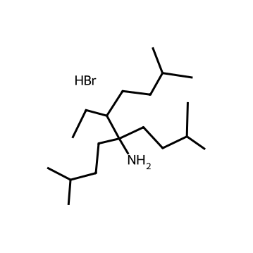 Br.CCC(CCC(C)C)C(N)(CCC(C)C)CCC(C)C